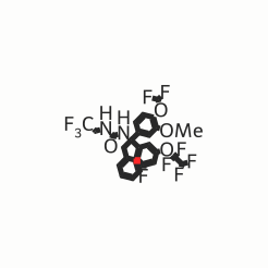 COc1cc(C(Cc2ccccc2)(NC(=O)NCC(F)(F)F)c2cc(F)cc(OC(F)(F)C(F)F)c2)ccc1OC(F)F